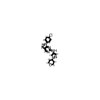 ClC1C=CC(n2nnc3cnc(Nc4cnn(C5CCOCC5)c4)nc32)=CC1